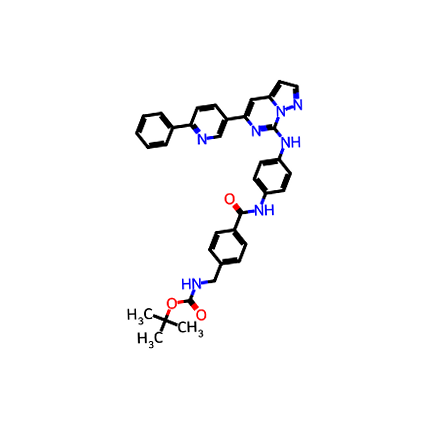 CC(C)(C)OC(=O)NCc1ccc(C(=O)Nc2ccc(Nc3nc(-c4ccc(-c5ccccc5)nc4)cc4ccnn34)cc2)cc1